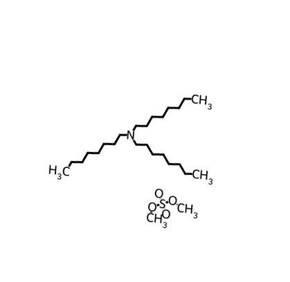 CCCCCCCCN(CCCCCCCC)CCCCCCCC.COS(=O)(=O)OC